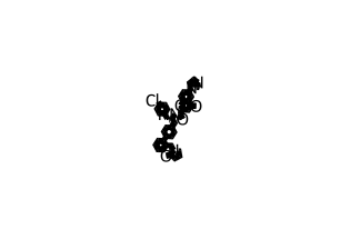 O=C(N[C@@H](C=C1CCC(c2ccccc2CN2CCCC2=O)CC1)Cc1ccc(Cl)cc1)c1cc(=O)c2cc(-n3ccnc3)ccc2o1